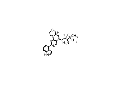 CC(C)(C)C(N)CCN1C[C@@H]2COCCN2c2nc(-c3cccc4[nH]ccc34)ncc21